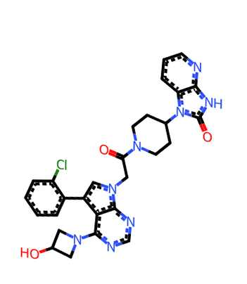 O=C(Cn1cc(-c2ccccc2Cl)c2c(N3CC(O)C3)ncnc21)N1CCC(n2c(=O)[nH]c3ncccc32)CC1